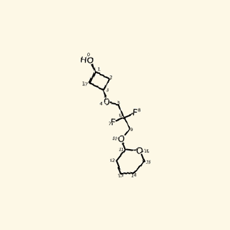 O[C@H]1C[C@@H](OCC(F)(F)COC2CCCCO2)C1